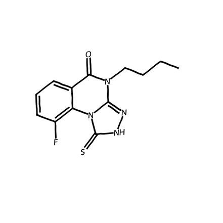 CCCCn1c(=O)c2cccc(F)c2n2c(=S)[nH]nc12